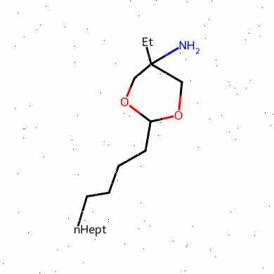 CCCCCCCCCCCC1OCC(N)(CC)CO1